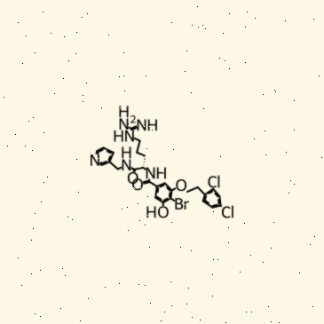 N=C(N)NCCC[C@H](NC(=O)c1cc(O)c(Br)c(OCCc2ccc(Cl)cc2Cl)c1)C(=O)NCc1cccnc1